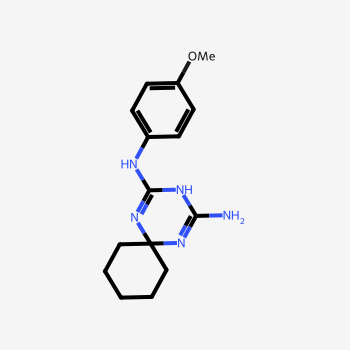 COc1ccc(NC2=NC3(CCCCC3)N=C(N)N2)cc1